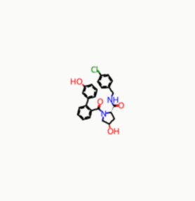 O=C(NCc1ccc(Cl)cc1)[C@@H]1C[C@@H](O)CN1C(=O)c1ccccc1-c1cccc(O)c1